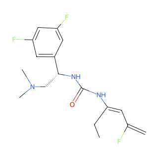 C=C(F)/C=C(\CC)NC(=O)N[C@H](CN(C)C)c1cc(F)cc(F)c1